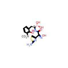 Nc1nc(/C(=N/O)C(=O)N[C@@H](Cc2cccc(C(=O)O)c2O)B(O)O)cs1